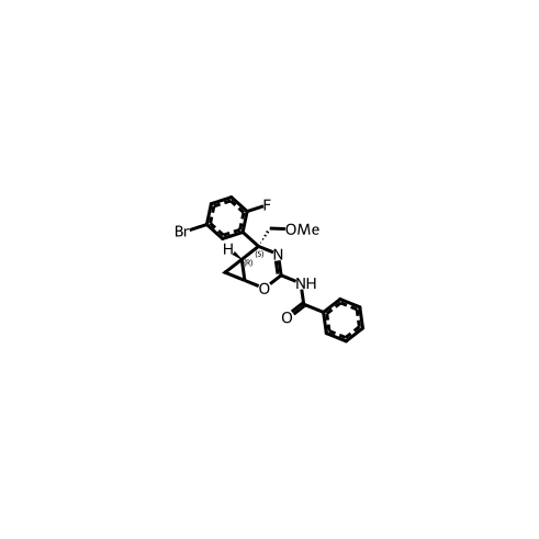 COC[C@]1(c2cc(Br)ccc2F)N=C(NC(=O)c2ccccc2)OC2C[C@@H]21